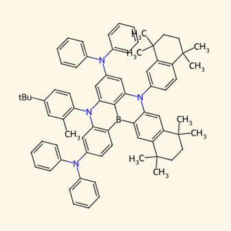 Cc1cc(C(C)(C)C)ccc1N1c2cc(N(c3ccccc3)c3ccccc3)ccc2B2c3cc4c(cc3N(c3ccc5c(c3)C(C)(C)CCC5(C)C)c3cc(N(c5ccccc5)c5ccccc5)cc1c32)C(C)(C)CCC4(C)C